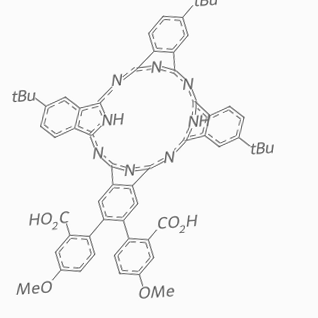 COc1ccc(-c2cc3c(cc2-c2ccc(OC)cc2C(=O)O)-c2nc-3nc3[nH]c(nc4nc(nc5[nH]c(n2)c2cc(C(C)(C)C)ccc52)-c2cc(C(C)(C)C)ccc2-4)c2cc(C(C)(C)C)ccc32)c(C(=O)O)c1